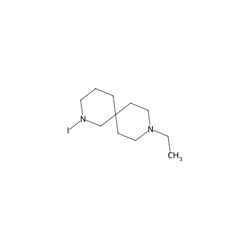 CCN1CCC2(CCCN(I)C2)CC1